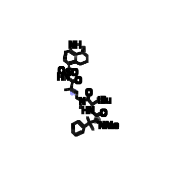 CN[C@H](C(=O)NC(C(=O)N(C)C/C=C(\C)C(=O)NS(=O)(=O)c1ccc(N)c2c1CCCC2)C(C)(C)C)C(C)(C)c1ccccc1